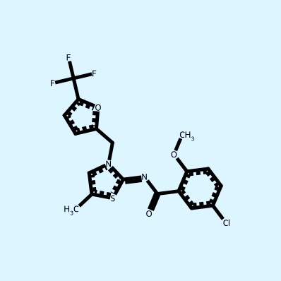 COc1ccc(Cl)cc1C(=O)/N=c1\sc(C)cn1Cc1ccc(C(F)(F)F)o1